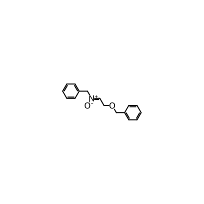 [O-][N+](=CCOCc1ccccc1)Cc1ccccc1